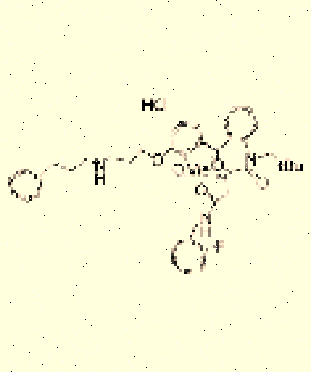 COc1c(OCCCNCCCc2ccccc2)cccc1[C@@H]1O[C@@H](CC(=O)NCc2ccccc2F)C(=O)N(CC(C)(C)C)c2ccccc21.Cl